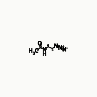 CC(=O)NCCN=[N+]=[N-]